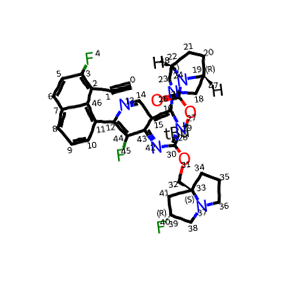 C#Cc1c(F)ccc2cccc(-c3ncc4c(N5C[C@H]6CC[C@@H](C5)N6C(=O)OC(C)(C)C)nc(OC[C@@]56CCCN5C[C@H](F)C6)nc4c3F)c12